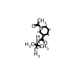 CC(=O)N1CCCC(C(=O)NC(C)(C)C)C1